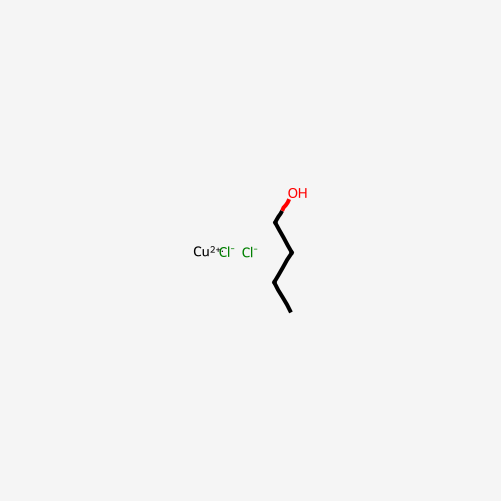 CCCCO.[Cl-].[Cl-].[Cu+2]